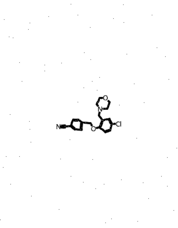 N#Cc1ccc(COc2ccc(Cl)cc2CN2CCOCC2)cc1